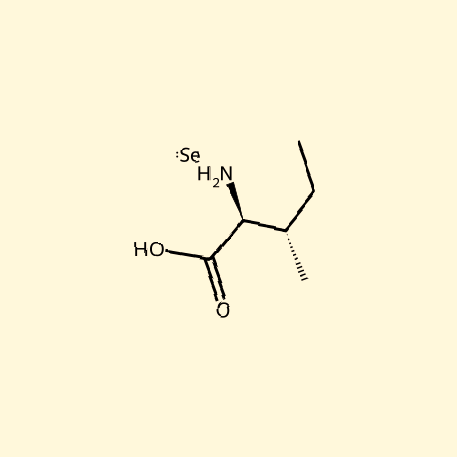 CC[C@H](C)[C@H](N)C(=O)O.[Se]